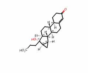 CC[C@]12CC[C@H]3[C@@H](CCC4=CC(=O)CC[C@@H]43)[C@@H]1[C@H]1C[C@H]1[C@@]2(O)CCC(=O)O